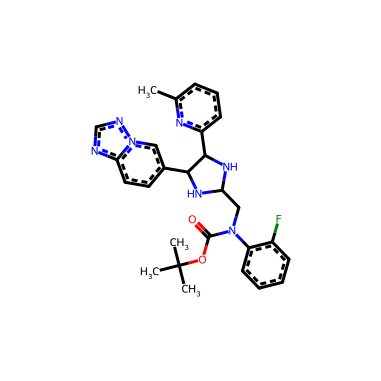 Cc1cccc(C2NC(CN(C(=O)OC(C)(C)C)c3ccccc3F)NC2c2ccc3ncnn3c2)n1